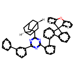 c1ccc(-c2cccc(-c3nc(-c4ccccc4-c4cccc5c4-c4ccccc4C54c5ccccc5Oc5ccccc54)nc(C45CC6C[C@H](C4)C[C@H](C6)C5)n3)c2)cc1